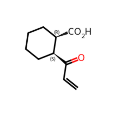 C=CC(=O)[C@H]1CCCC[C@H]1C(=O)O